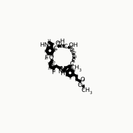 CCOC(=O)CCc1cccc(C2(C)CCCCCC(O)CNC(=O)Cc3c(c(F)cc4[nH]ccc34)Oc3ccc(F)c(c3)-c3ncc2[nH]3)c1